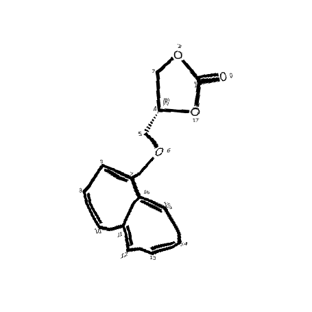 O=C1OC[C@@H](COc2cccc3ccccc23)O1